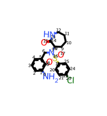 Nc1cccc(CN([C@@H]2CCCCNC2=O)S(=O)(=O)c2ccc(Cl)cc2)c1